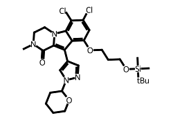 CN1CCn2c(c(-c3cnn(C4CCCCO4)c3)c3c(OCCCO[Si](C)(C)C(C)(C)C)cc(Cl)c(Cl)c32)C1=O